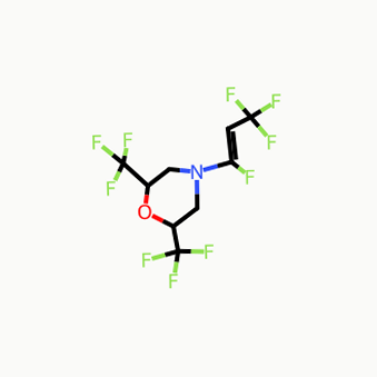 F/C(=C\C(F)(F)F)N1CC(C(F)(F)F)OC(C(F)(F)F)C1